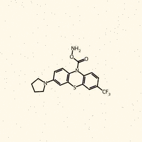 NOC(=O)N1c2ccc(N3CCCC3)cc2Sc2cc(C(F)(F)F)ccc21